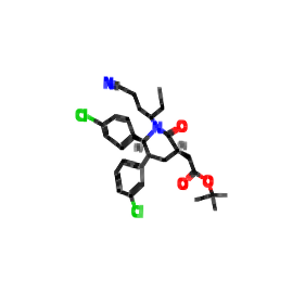 CCC(CCC#N)N1C(=O)[C@@H](CC(=O)OC(C)(C)C)CC(c2cccc(Cl)c2)[C@H]1c1ccc(Cl)cc1